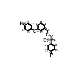 CCC(C)(COCc1cccc(Oc2ccc(F)cc2)c1)c1ccc(F)cc1